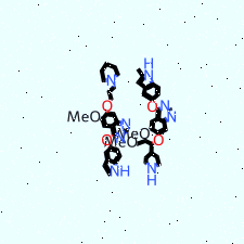 COCCC(Oc1cc2ncnc(Oc3ccc4[nH]c(C)cc4c3)c2cc1OC)C1CCNCC1.COc1cc2c(Oc3ccc4[nH]ccc4c3)ncnc2cc1OCCCN1CCCCC1